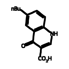 CCCCc1ccc2[nH]cc(C(=O)O)c(=O)c2c1